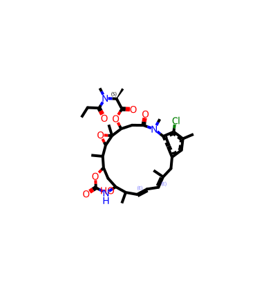 CCC(=O)N(C)[C@@H](C)C(=O)OC1CC(=O)N(C)c2cc(cc(C)c2Cl)C/C(C)=C/C=C/C(C)C2(O)CC(OC(=O)N2)C(C)C2OC12C